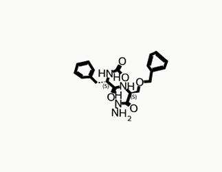 NNC(=O)[C@H](COCc1ccccc1)NC(=O)[C@H](Cc1ccccc1)NC(=O)O